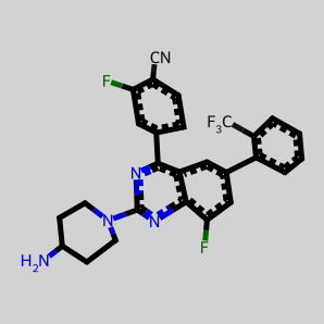 N#Cc1ccc(-c2nc(N3CCC(N)CC3)nc3c(F)cc(-c4ccccc4C(F)(F)F)cc23)cc1F